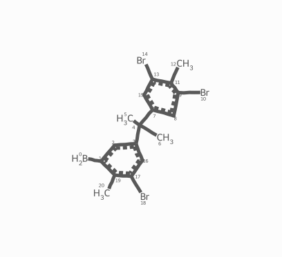 Bc1cc(C(C)(C)c2cc(Br)c(C)c(Br)c2)cc(Br)c1C